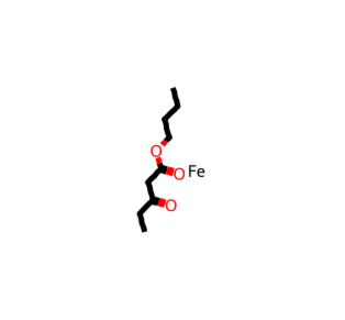 CCCCOC(=O)CC(=O)CC.[Fe]